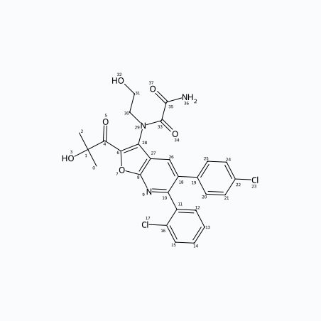 CC(C)(O)C(=O)c1oc2nc(-c3ccccc3Cl)c(-c3ccc(Cl)cc3)cc2c1N(CCO)C(=O)C(N)=O